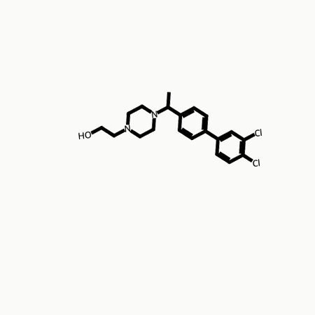 CC(c1ccc(-c2ccc(Cl)c(Cl)c2)cc1)N1CCN(CCO)CC1